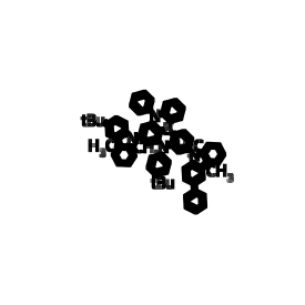 CC(C)(C)c1ccc(N2c3cc(N4c5ccc(-c6ccccc6)cc5C5(C)CCCCC45C)ccc3B3c4ccccc4N(c4ccccc4)c4cc(N5c6ccc(C(C)(C)C)cc6C6(C)CCCCC56C)cc2c43)cc1